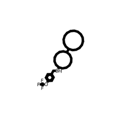 FC(F)(F)Oc1ccc(CBC2CCCCCCC(C3CCCCCCCCCCCCCCC3)CCCCCC2)cc1